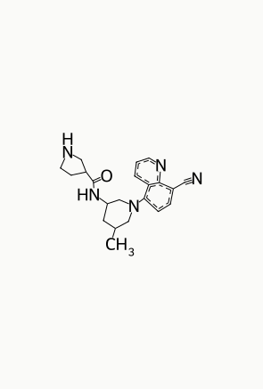 CC1CC(NC(=O)C2CCNC2)CN(c2ccc(C#N)c3ncccc23)C1